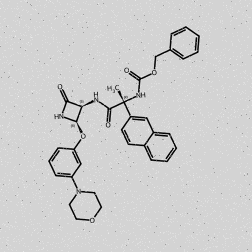 C[C@](NC(=O)OCc1ccccc1)(C(=O)N[C@@H]1C(=O)N[C@@H]1Oc1cccc(N2CCOCC2)c1)c1ccc2ccccc2c1